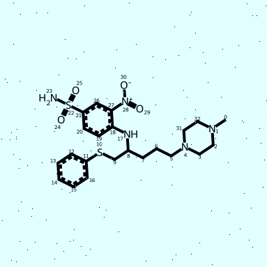 CN1CCN(CCCC(CSc2ccccc2)Nc2ccc(S(N)(=O)=O)cc2[N+](=O)[O-])CC1